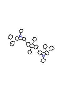 c1ccc(-c2ccccc2-c2ccc3c(c2)c2cc(-c4ccc5c(-c6ccccc6)c6cc(-c7ccc8c(c7)c7cc(-c9ccccc9-c9ccccc9)ccc7n8-c7ccccc7)ccc6c(-c6ccccc6)c5c4)ccc2n3-c2ccccc2)cc1